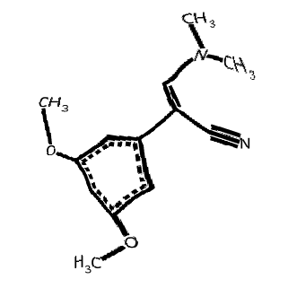 COc1cc(OC)cc(/C(C#N)=C/N(C)C)c1